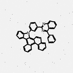 c1ccc(-c2nc(-c3cccc(-n4c5ccccc5c5c6ccccc6c6c7ccccc7ccc6c54)c3)nc3ccccc23)cc1